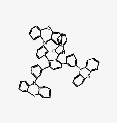 c1cc(-c2ccc(-c3cccc(N4c5ccccc5Sc5ccccc54)c3)c(-c3nc4ccccc4o3)c2-c2cccc(N3c4ccccc4Sc4ccccc43)c2)cc(N2c3ccccc3Sc3ccccc32)c1